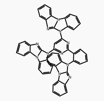 c1ccc(-n2c3ccccc3n3c4ccccc4nc23)c(-c2nc(-n3c4ccccc4n4c5ccccc5nc34)cc(-n3c4ccccc4n4c5ccccc5nc34)n2)c1